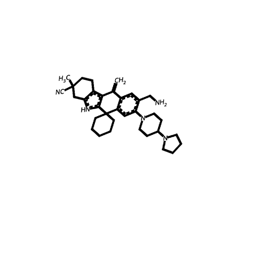 C=C1c2cc(CN)c(N3CCC(N4CCCC4)CC3)cc2C2(CCCCC2)c2[nH]c3c(c21)CCC(C)(C#N)C3